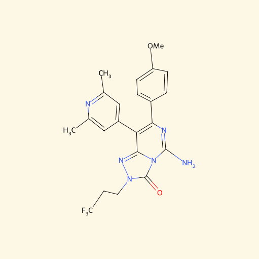 COc1ccc(-c2nc(N)n3c(=O)n(CCC(F)(F)F)nc3c2-c2cc(C)nc(C)c2)cc1